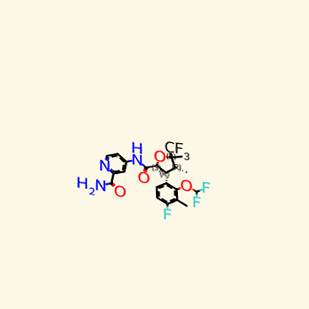 Cc1c(F)ccc([C@@H]2[C@@H](C(=O)Nc3ccnc(C(N)=O)c3)O[C@@](C)(C(F)(F)F)[C@@H]2C)c1OC(F)F